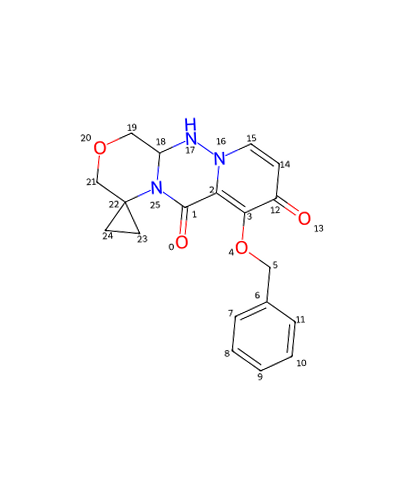 O=C1c2c(OCc3ccccc3)c(=O)ccn2NC2COCC3(CC3)N12